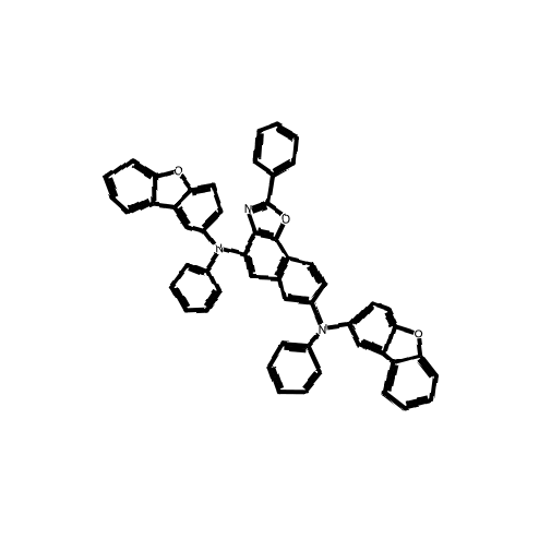 c1ccc(-c2nc3c(N(c4ccccc4)c4ccc5oc6ccccc6c5c4)cc4cc(N(c5ccccc5)c5ccc6oc7ccccc7c6c5)ccc4c3o2)cc1